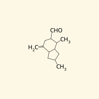 C=C1CC(C=O)C(C)C2CC(C)CC12